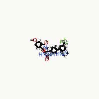 COc1ccc2c(c1)C(=O)N(C[C@@]1(c3ccc(-c4cc(C(F)(F)F)cc5nc[nH]c45)cc3)NC(=O)NC1=O)C2